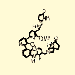 COc1nc(-c2ccnc(-c3cccc(Nc4nccc(CN5CC6(CCC(=O)N6)C5)c4F)c3Cl)c2Cl)ccc1CNC[C@@H]1CCC(=O)N1